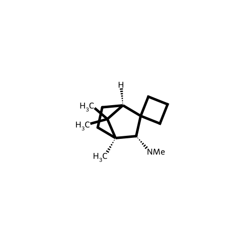 CN[C@H]1C2(CCC2)[C@@H]2CC[C@@]1(C)C2(C)C